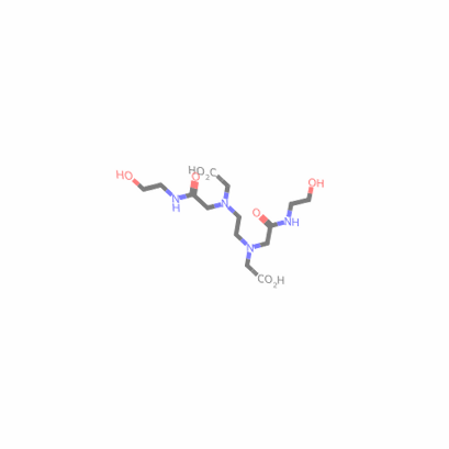 O=C(O)CN(CCN(CC(=O)O)CC(=O)NCCO)CC(=O)NCCO